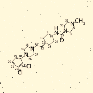 CN1CCN(C(=O)N[C@H]2CC[C@H](CCN3CCN(c4cccc(Cl)c4Cl)CC3)CC2)CC1